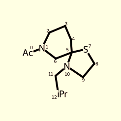 CC(=O)N1CCCC2(C1)SCCN2CC(C)C